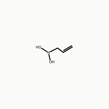 C=CCN(O)O